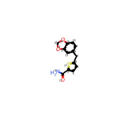 NC(=O)c1ccc(Cc2ccc3c(c2)OCO3)s1